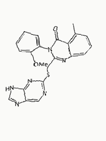 COc1ccccc1-n1c(CSc2ncc3nc[nH]c3n2)nc2cccc(C)c2c1=O